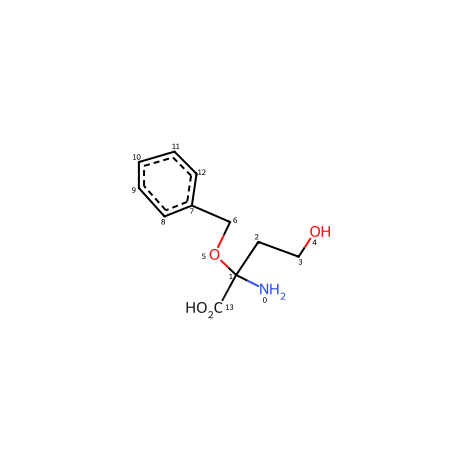 NC(CCO)(OCc1ccccc1)C(=O)O